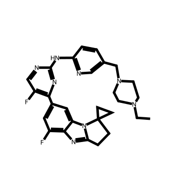 CCN1CCN(Cc2ccc(Nc3ncc(F)c(-c4cc(F)c5nc6n(c5c4)C4(CC6)CC4)n3)nc2)CC1